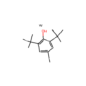 Cc1cc(C(C)(C)C)c(O)c(C(C)(C)C)c1.[W]